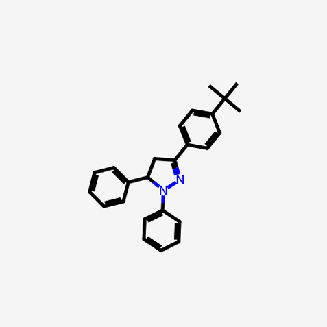 CC(C)(C)c1ccc(C2=NN(c3ccccc3)C(c3ccccc3)C2)cc1